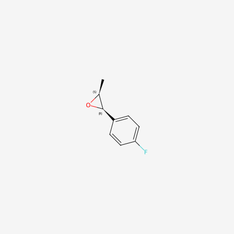 C[C@@H]1O[C@@H]1c1ccc(F)cc1